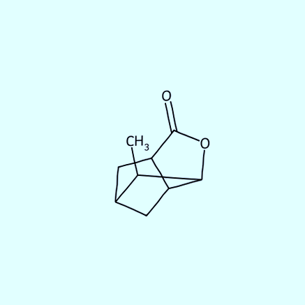 CC1C2CC3C(=O)OC1C3C2